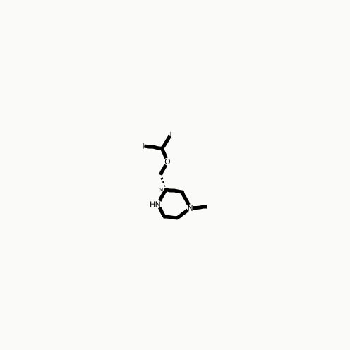 CN1CCN[C@H](COC(I)I)C1